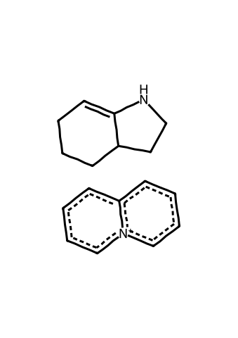 C1=C2NCCC2CCC1.c1cc[n+]2ccccc2c1